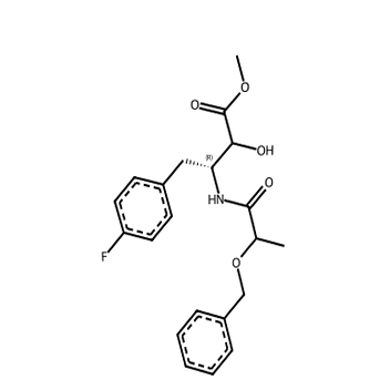 COC(=O)C(O)[C@@H](Cc1ccc(F)cc1)NC(=O)C(C)OCc1ccccc1